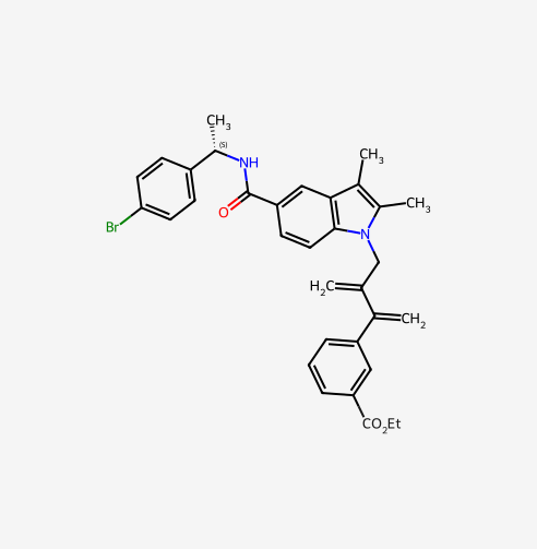 C=C(Cn1c(C)c(C)c2cc(C(=O)N[C@@H](C)c3ccc(Br)cc3)ccc21)C(=C)c1cccc(C(=O)OCC)c1